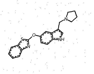 c1ccc2sc(Oc3ccc4[nH]cc(CN5CCCC5)c4c3)nc2c1